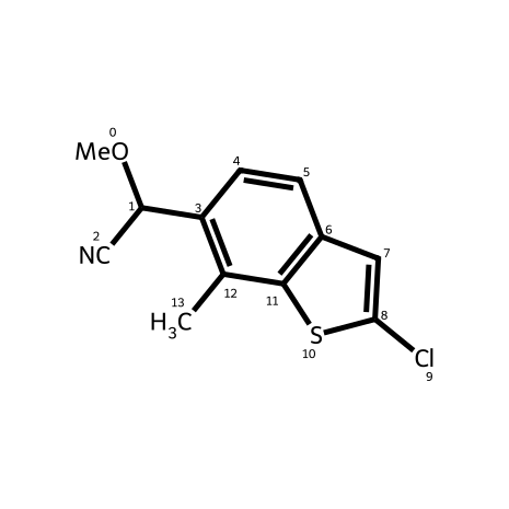 COC(C#N)c1ccc2cc(Cl)sc2c1C